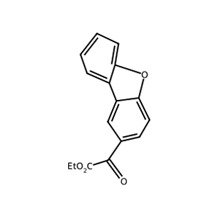 CCOC(=O)C(=O)c1ccc2oc3ccccc3c2c1